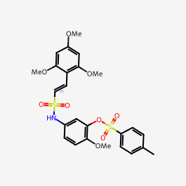 COc1cc(OC)c(/C=C/S(=O)(=O)Nc2ccc(OC)c(OS(=O)(=O)c3ccc(C)cc3)c2)c(OC)c1